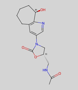 CC(=O)NC[C@H]1CN(c2cnc3c(c2)CCCC[C@H]3O)C(=O)O1